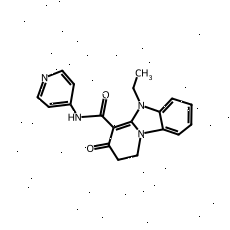 CCN1C2=C(C(=O)Nc3ccncc3)C(=O)CCN2c2ccccc21